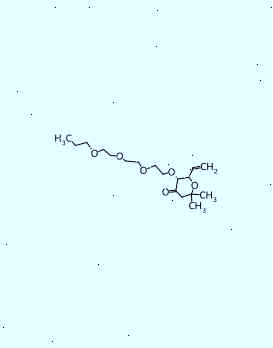 C=C[C@H]1OC(C)(C)CC(=O)[C@@H]1OCCOCCOCCOCCC